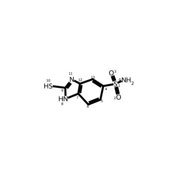 NS(=O)(=O)c1ccc2[nH]c(S)nc2c1